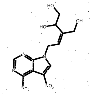 Nc1ncnc2c1c([N+](=O)[O-])cn2C/C=C(/CO)C(O)CO